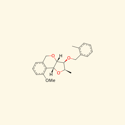 COc1cccc2c1[C@H]1O[C@H](C)[C@H](OCc3ccccc3C)[C@H]1OC2